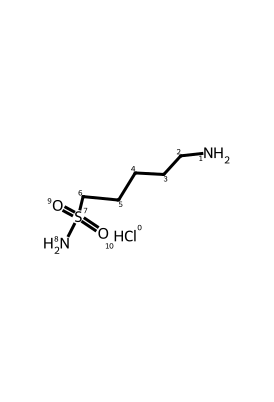 Cl.NCCCCCS(N)(=O)=O